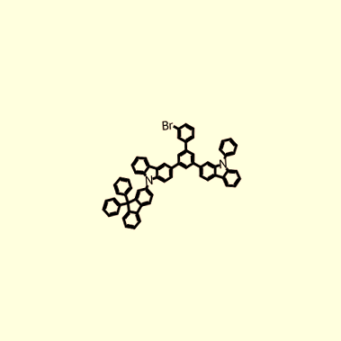 Brc1cccc(-c2cc(-c3ccc4c(c3)c3ccccc3n4-c3ccc4c(c3)C(c3ccccc3)(c3ccccc3)c3ccccc3-4)cc(-c3ccc4c5ccccc5n(-c5ccccc5)c4c3)c2)c1